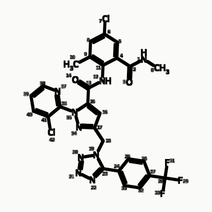 CNC(=O)c1cc(Cl)cc(C)c1NC(=O)c1cc(Cn2nnnc2-c2ccc(C(F)(F)F)cc2)nn1-c1ncccc1Cl